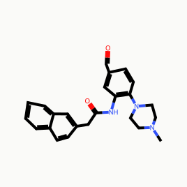 CN1CCN(c2ccc(C=O)cc2NC(=O)Cc2ccc3ccccc3c2)CC1